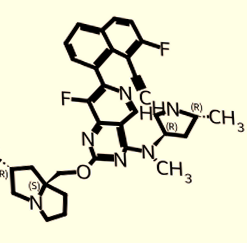 C#Cc1c(F)ccc2cccc(-c3ncc4c(N(C)[C@H]5CN[C@H](C)C5)nc(OC[C@@]56CCCN5C[C@H](F)C6)nc4c3F)c12